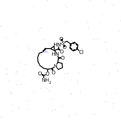 NC(=O)OC1CCCCC/C=C/C2CC2(C(=O)NS(=O)(=O)Cc2ccc(Cl)cc2)NC(=O)C2CCCN2C1=O